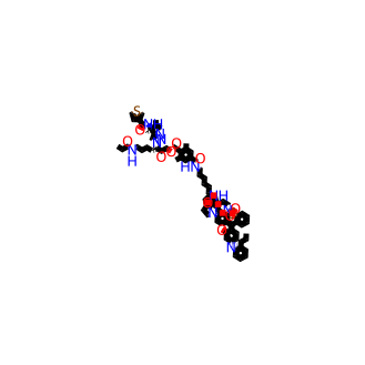 CCCc1ccccc1/N=c1\ccc2c(-c3ccccc3S(=O)(=O)N3CCC(C(=O)NCCCCCCNC(=O)c4cc(C)c(C(=O)OCC(=O)[C@H](CCCCNC(=O)CC)n5cc([C@@](C)(NC(=O)c6ccsc6)C(C)C)nn5)c(C)c4)CC3)c3ccc(N4CCc5ccccc54)cc3oc-2c1